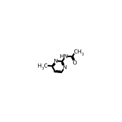 CC(=O)Nc1nc[c]c(C)n1